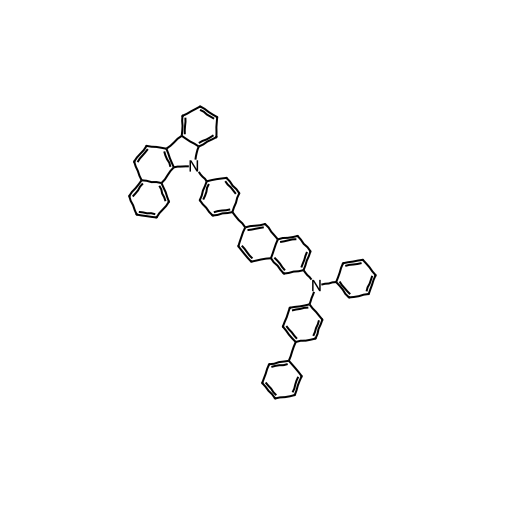 c1ccc(-c2ccc(N(c3ccccc3)c3ccc4cc(-c5ccc(-n6c7ccccc7c7ccc8ccccc8c76)cc5)ccc4c3)cc2)cc1